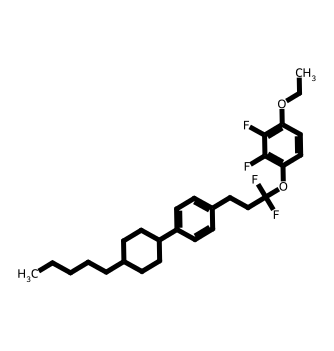 CCCCCC1CCC(c2ccc(CCC(F)(F)Oc3ccc(OCC)c(F)c3F)cc2)CC1